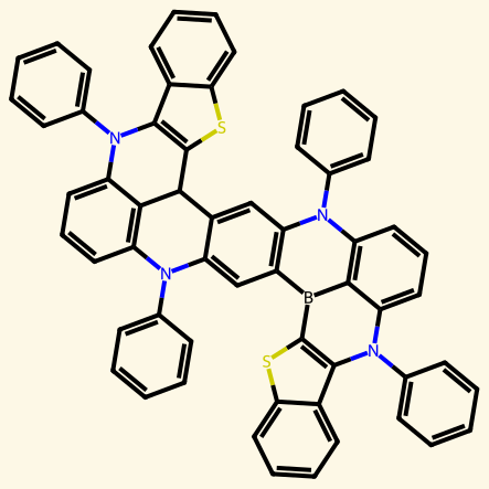 c1ccc(N2c3cc4c(cc3B3c5sc6ccccc6c5N(c5ccccc5)c5cccc2c53)N(c2ccccc2)c2cccc3c2C4c2sc4ccccc4c2N3c2ccccc2)cc1